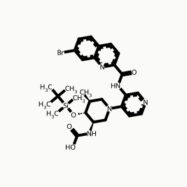 C[C@H]1CN(c2ccncc2NC(=O)c2ccc3ccc(Br)cc3n2)C[C@@H](NC(=O)O)[C@@H]1O[Si](C)(C)C(C)(C)C